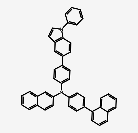 c1ccc(-n2ccc3cc(-c4ccc(N(c5ccc(-c6cccc7ccccc67)cc5)c5ccc6ccccc6c5)cc4)ccc32)cc1